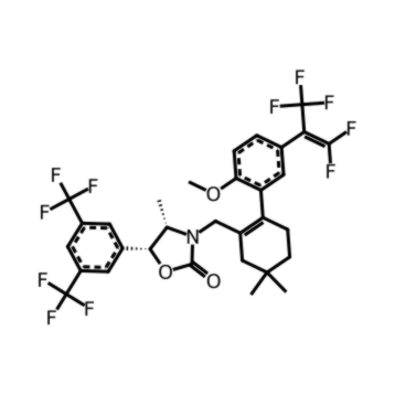 COc1ccc(C(=C(F)F)C(F)(F)F)cc1C1=C(CN2C(=O)O[C@H](c3cc(C(F)(F)F)cc(C(F)(F)F)c3)[C@@H]2C)CC(C)(C)CC1